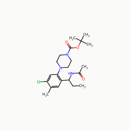 CCC(NC(C)=O)c1cc(C)c(Cl)cc1N1CCN(C(=O)OC(C)(C)C)CC1